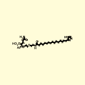 CC(=O)N(OCCOCCNC(=O)CCCCCCCCCCCCCCCc1nnn[nH]1)[C@@H](CCC(N)=O)C(=O)O